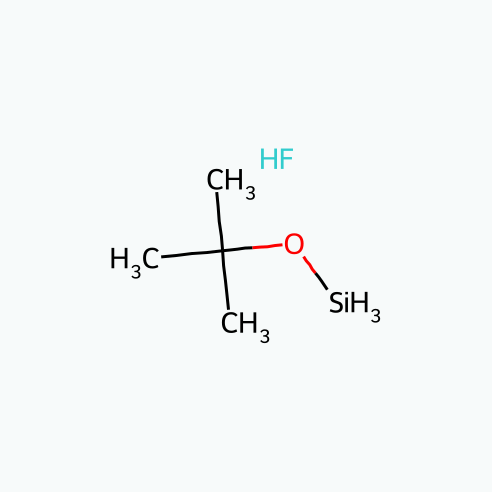 CC(C)(C)O[SiH3].F